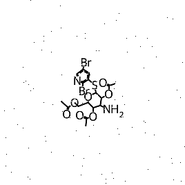 CC(=O)OCC1OC(Sc2cc(Br)cnc2Br)C(OC(C)=O)C(N)C1OC(C)=O